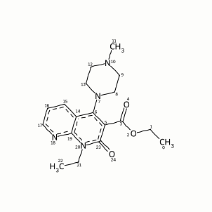 CCOC(=O)c1c(N2CCN(C)CC2)c2cccnc2n(CC)c1=O